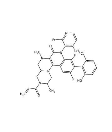 C=CC(=O)N1CC2CN(C)c3c(c4cc(F)c(-c5c(O)cccc5Cl)c(F)c4n(-c4c(C)ccnc4C(C)C)c3=O)N2CC1C